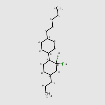 CCCCCC1CCC(C2CCC(CCC)CC2(F)F)CC1